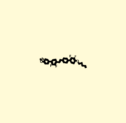 C=CCCCOc1ccc(-c2ccc(/C=C/c3ccc(-c4ccc(OCCCC)cc4)c(F)c3F)cc2)c(F)c1F